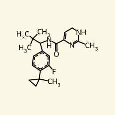 CC1=NC(C(=O)NC(c2ccc(C3(C)CC3)c(F)c2)C(C)(C)C)=CCN1